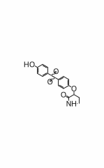 CCC(Oc1ccc(S(=O)(=O)c2ccc(O)cc2)cc1)C([NH])=O